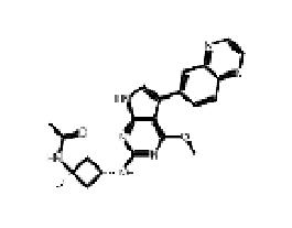 COc1nc(N[C@H]2C[C@](C)(NC(C)=O)C2)nc2[nH]cc(-c3ccc4nccnc4c3)c12